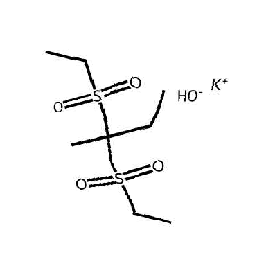 CCC(C)(S(=O)(=O)CC)S(=O)(=O)CC.[K+].[OH-]